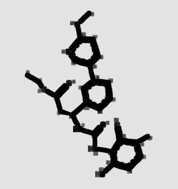 CCOC(=O)C[C@H](NC(=O)Nc1c(O)ccn(C)c1=O)c1cccc(-c2ccc(OC)nc2)c1